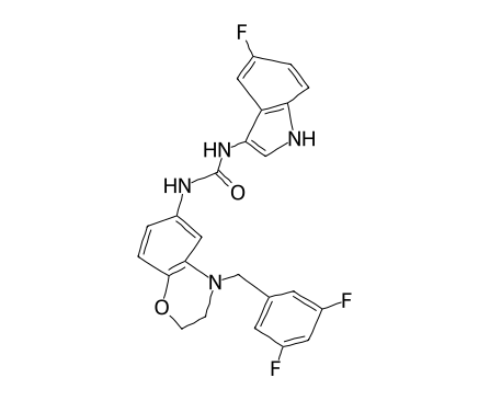 O=C(Nc1ccc2c(c1)N(Cc1cc(F)cc(F)c1)CCO2)Nc1c[nH]c2ccc(F)cc12